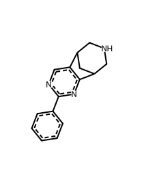 c1ccc(-c2ncc3c(n2)C2CNCC3C2)cc1